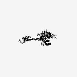 CN(CC(=O)OCCOCCOc1cc(NN)c(Nc2ccc(C#N)cn2)nc1NC1CCOCC1)C(=O)OC(C)(C)C